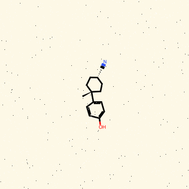 C[C@]1(c2ccc(O)cc2)CC[C@@H](C#N)CC1